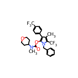 Cc1c(-c2ccc(C(F)(F)F)cc2)c(OC(=O)N(C)C2CCOCC2)n(Cc2ccccc2)c1C(F)(F)F